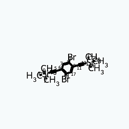 C[Si](C)(C)C#Cc1cc(Br)c(C#C[Si](C)(C)C)cc1Br